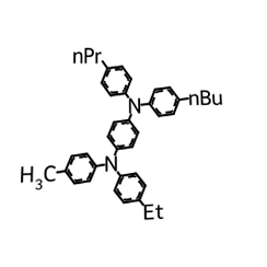 CCCCc1ccc(N(c2ccc(CCC)cc2)c2ccc(N(c3ccc(C)cc3)c3ccc(CC)cc3)cc2)cc1